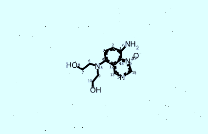 Nc1ccc(N(CCO)CCO)c2cnc[n+]([O-])c12